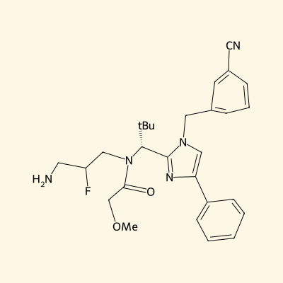 COCC(=O)N(CC(F)CN)[C@@H](c1nc(-c2ccccc2)cn1Cc1cccc(C#N)c1)C(C)(C)C